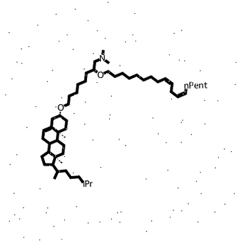 CCCCC/C=C\C/C=C\CCCCCCCCOC(CCCCCCO[C@@H]1CC[C@]2(C)C(=CCC3C4CCC(C(C)CCCC(C)C)[C@]4(C)CCC32)C1)CN(C)C